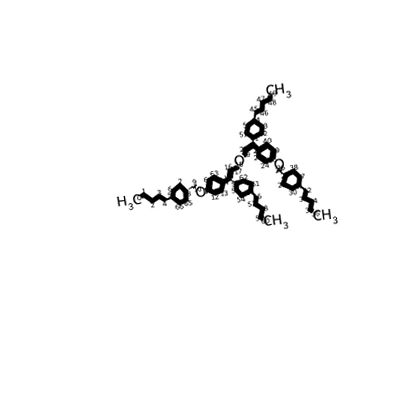 CCCCC[C@H]1CC[C@H](COc2ccc(C(=CCOCC=C(c3ccc(OC[C@H]4CC[C@H](CCCCC)CC4)cc3)[C@H]3CC[C@H](CCCCC)CC3)[C@H]3CC[C@H](CCCCC)CC3)cc2)CC1